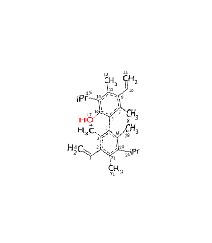 C=Cc1c(C)c(-c2c(C)c(C=C)c(C)c(C(C)C)c2O)c(C)c(C(C)C)c1C